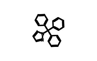 [c]1ccnn1C(c1ccccc1)(c1ccccc1)c1ccccc1